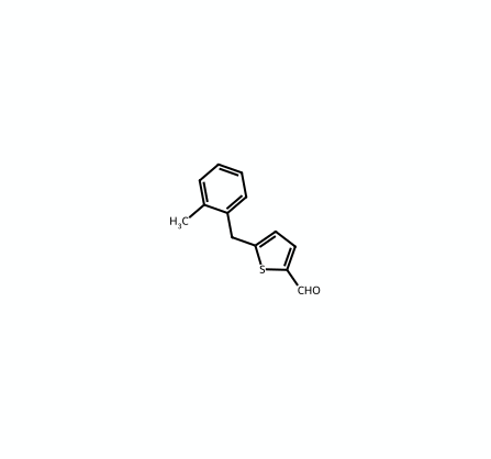 Cc1ccccc1Cc1ccc(C=O)s1